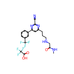 CNC(=O)CNCCCc1cc(-c2cccc(C(F)(F)F)c2)nc(C#N)n1.O=C(O)C(F)(F)F